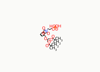 C=C(C)C(=O)OCC(COC(=O)C(=C)C)OCC12C=CC(O1)C1C(=O)N(CCCOP(=O)(O)O)C(=O)C12